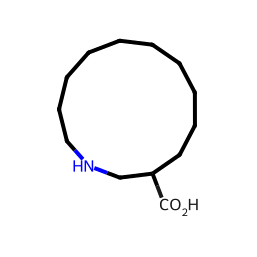 O=C(O)C1CCCCCCCCCCNC1